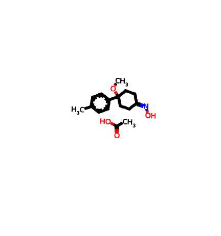 CC(=O)O.COC1(c2ccc(C)cc2)CCC(=NO)CC1